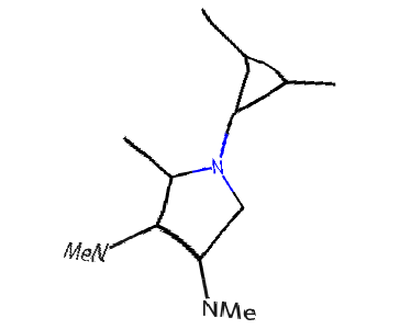 CNC1CN(C2C(C)C2C)C(C)C1NC